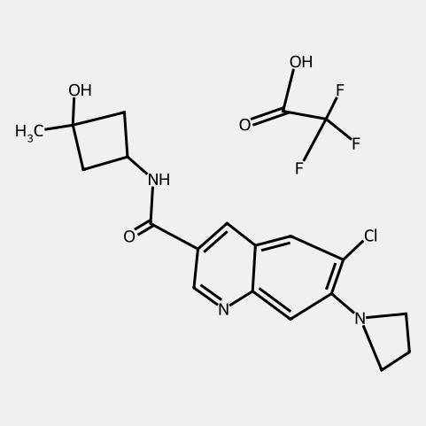 CC1(O)CC(NC(=O)c2cnc3cc(N4CCC4)c(Cl)cc3c2)C1.O=C(O)C(F)(F)F